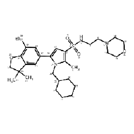 Cc1c(S(=O)(=O)NCCN2CCOCC2)cc(-c2cc(C(C)(C)C)c3c(c2)C(C)(C)CO3)n1CC1CCCCC1